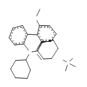 COc1cccc(OC)c1-c1ccccc1P(C1CCCCC1)C1CCCCC1.F[B-](F)(F)F